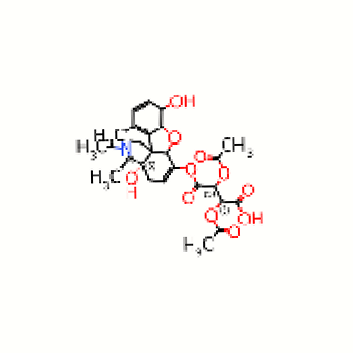 CC(=O)O[C@H](C(=O)O)[C@H](OC(C)=O)C(=O)OC1=CC[C@@]2(O)[C@@H](C)N(C)CCC23c2c(C)ccc(O)c2OC13